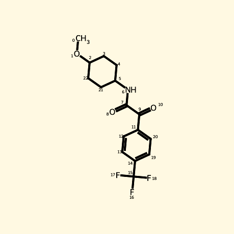 COC1CCC(NC(=O)C(=O)c2ccc(C(F)(F)F)cc2)CC1